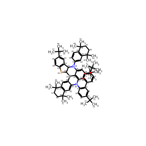 CC(C)(C)c1ccc(-c2cc(C(C)(C)C)ccc2N2c3cc4c(cc3B3c5c2cc(C(C)(C)C)cc5N(c2ccc5c(c2)C(C)(C)CCC5(C)C)C2c5cc(C(C)(C)C)ccc5SC32)C(C)(C)CCC4(C)C)cc1